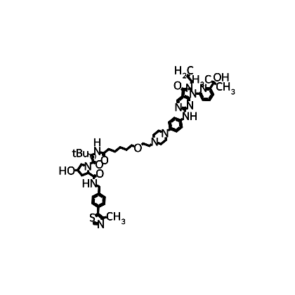 C=CCn1c(=O)c2cnc(Nc3ccc(N4CCN(CCOCCCCCC(=O)N[C@H](C(=O)N5CC(O)CC5C(=O)NCc5ccc(-c6scnc6C)cc5)C(C)(C)C)CC4)cc3)nc2n1-c1cccc(C(C)(C)O)n1